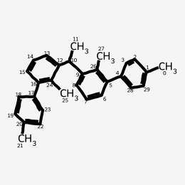 Cc1ccc(-c2cccc(C(C)c3cccc(-c4ccc(C)cc4)c3C)c2C)cc1